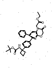 CCOC(=O)CN1C(=O)COc2nc(-c3ccc(C4(NC(=O)OC(C)(C)C)CCC4)cc3)c(-c3ccccc3)cc21